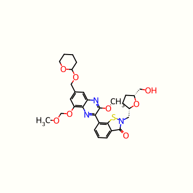 COCOc1cc(COC2CCCCO2)cc2nc(OC)c(-c3cccc4c(=O)n(C[C@@H]5CC[C@H](CO)O5)sc34)nc12